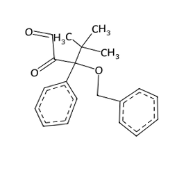 CC(C)(C)C(OCc1ccccc1)(C(=O)C=O)c1ccccc1